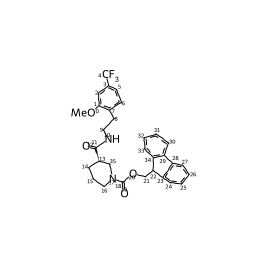 COc1cc(C(F)(F)F)ccc1CCNC(=O)[C@@H]1CCCN(C(=O)OCC2c3ccccc3-c3ccccc32)C1